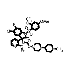 CCOc1ncccc1C1(OC(=O)ON2CCN(C3CCN(C)CC3)CC2)C(=O)N(S(=O)(=O)c2ccc(OC)cc2OC(F)(F)F)c2cc(F)c(Cl)cc21